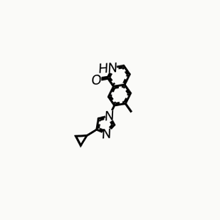 Cc1cc2cc[nH]c(=O)c2cc1-n1cnc(C2CC2)c1